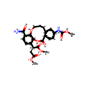 CC(C)(C)OC(=O)C[C@H](C(=O)OC(C)(C)C)c1ccc(C(N)=O)c2c1OC(=O)c1ccc(NC(=O)OC(C)(C)C)cc1CCCO2